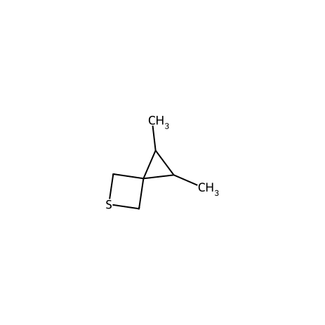 CC1C(C)C12CSC2